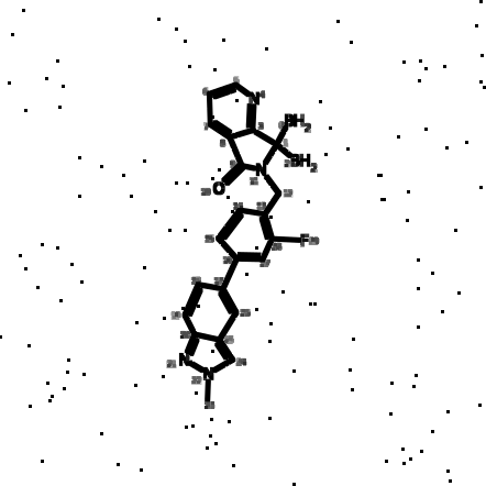 BC1(B)c2ncccc2C(=O)N1Cc1ccc(-c2ccc3nn(C)cc3c2)cc1F